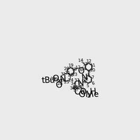 COC[C@H]1N(c2cccc(-c3cccc(C)c3OCc3ccc4c(c3)CCN(C(=O)OC(C)(C)C)C4)n2)CC[C@@]1(C)C(=O)O